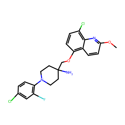 COc1ccc2c(OCC3(N)CCN(c4ccc(Cl)cc4F)CC3)ccc(Cl)c2n1